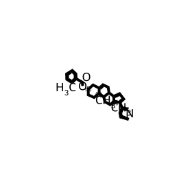 Cc1ccccc1C(=O)O[C@H]1CC[C@@]2(C)C(=CCC3C4=CC=C(c5cccnc5)[C@@]4(C)CCC32)C1